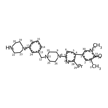 Cc1cc(-c2ccc(N3CCN(Cc4cccc(N5CCNCC5)c4)CC3)nc2C(C)C)cn(C)c1=O